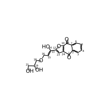 O=C1c2ccccc2C(=O)c2oc(/C(O)=C/COCC(O)CO)cc21